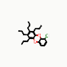 CCCc1c(CCC)c(CCC)c2c(c1CCC)Oc1cccc(Cl)c1O2